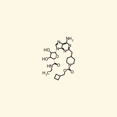 CCNC(=O)[C@H]1O[C@@H](n2cnc3c(N)nc(CC4CCN(C(=O)OCC5CCC5)CC4)nc32)C(O)C1O